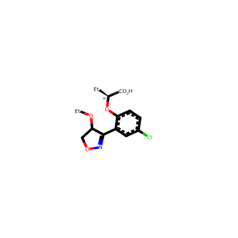 CCOC1CON=C1c1cc(Cl)ccc1O[C@@H](CC)C(=O)O